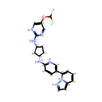 FC(F)Oc1cnc(N[C@H]2CC[C@H](Nc3ccc(-c4cccc5ccnn45)cn3)C2)nc1